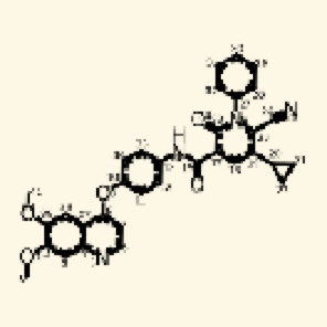 COc1cc2nccc(Oc3ccc(NC(=O)c4cc(C5CC5)c(C#N)n(-c5ccccc5)c4=O)cc3)c2cc1OC